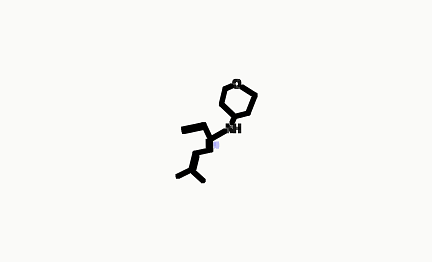 C=C/C(=C\C=C(C)C)NC1CCOCC1